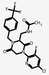 CC(=O)NCC1C(=O)N(c2ncc(Cl)cc2F)CC(=O)N1Cc1ccc(C(F)(F)F)cc1